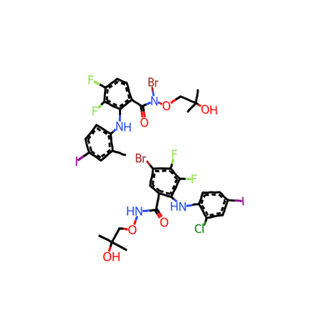 CC(C)(O)CONC(=O)c1cc(Br)c(F)c(F)c1Nc1ccc(I)cc1Cl.Cc1cc(I)ccc1Nc1c(C(=O)N(Br)OCC(C)(C)O)ccc(F)c1F